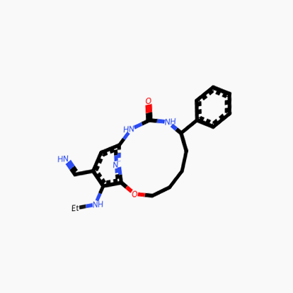 CCNc1c(C=N)cc2nc1OCCCCC(c1ccccc1)NC(=O)N2